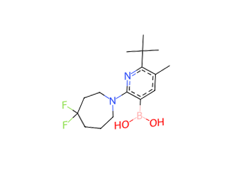 Cc1cc(B(O)O)c(N2CCCC(F)(F)CC2)nc1C(C)(C)C